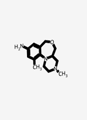 Cc1cc(N)cc2c1N1CCN(C)CC1COC2